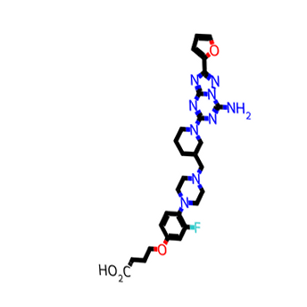 Nc1nc(N2CCCC(CN3CCN(c4ccc(OCCCC(=O)O)cc4F)CC3)C2)nc2nc(-c3ccco3)nn12